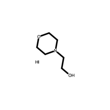 I.OCCN1CCOCC1